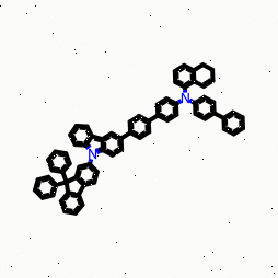 C1=Cc2c(cccc2N(c2ccc(-c3ccccc3)cc2)c2ccc(-c3ccc(-c4ccc5c(c4)c4ccccc4n5-c4ccc5c(c4)C(c4ccccc4)(c4ccccc4)c4ccccc4-5)cc3)cc2)CC1